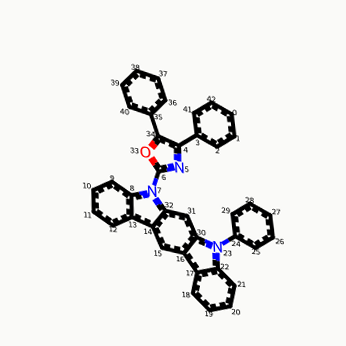 c1ccc(-c2nc(-n3c4ccccc4c4cc5c6ccccc6n(-c6ccccc6)c5cc43)oc2-c2ccccc2)cc1